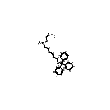 CN(CCN)CCCCCCSC(c1ccccc1)(c1ccccc1)c1ccccc1